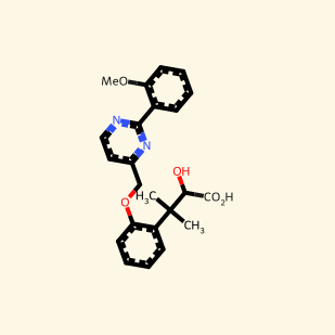 COc1ccccc1-c1nccc(COc2ccccc2C(C)(C)C(O)C(=O)O)n1